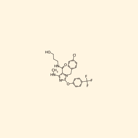 CNc1nc(Oc2ccc(C(F)(F)F)cc2)n(Cc2ccc(Cl)cc2)c1C(=O)NCCCO